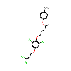 CC(CCCOc1c(Cl)cc(OCC=C(Cl)Cl)cc1Cl)Oc1ccc(C=O)cc1